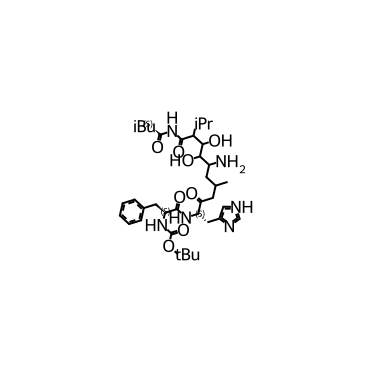 CC[C@H](C)C(=O)NC(=O)C(C(C)C)C(O)C(O)C(N)CC(C)CC(=O)[C@H](Cc1c[nH]cn1)NC(=O)[C@H](Cc1ccccc1)NC(=O)OC(C)(C)C